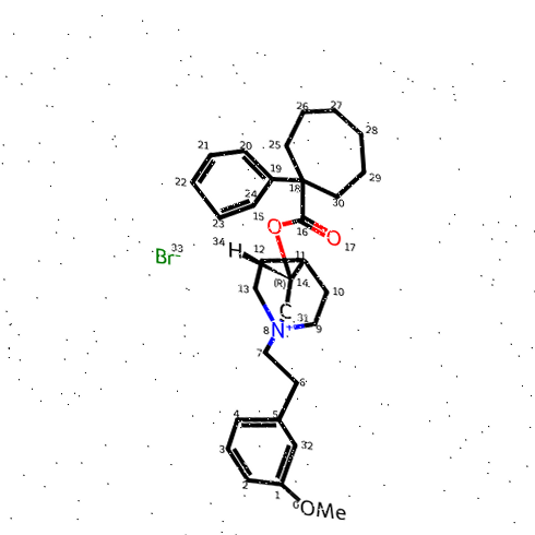 COc1cccc(CC[N+]23CCC(CC2)[C@@H](OC(=O)C2(c4ccccc4)CCCCCC2)C3)c1.[Br-]